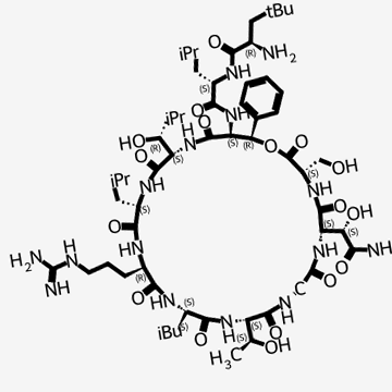 CC[C@H](C)[C@@H]1NC(=O)[C@@H](CCCNC(=N)N)NC(=O)[C@H](CC(C)C)NC(=O)[C@H]([C@H](O)C(C)C)NC(=O)[C@@H](NC(=O)[C@H](CC(C)C)NC(=O)[C@H](N)CC(C)(C)C)[C@@H](c2ccccc2)OC(=O)[C@H](CO)NC(=O)[C@H]([C@H](O)C(N)=O)NC(=O)CNC(=O)[C@H]([C@H](C)O)NC1=O